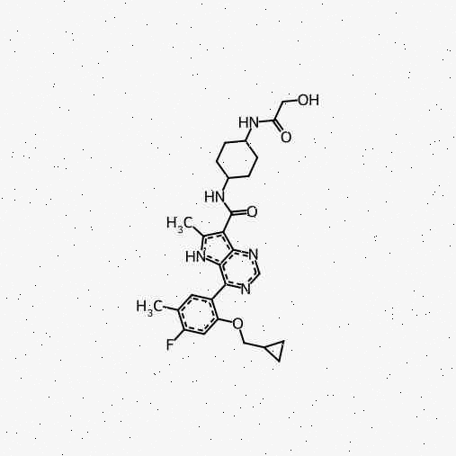 Cc1cc(-c2ncnc3c(C(=O)NC4CCC(NC(=O)CO)CC4)c(C)[nH]c23)c(OCC2CC2)cc1F